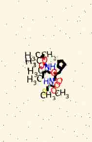 CC[C@H](C)C(COC(Cc1ccccc1)C(=O)N[C@@H](CCSC)C(=O)OC)NC(=O)OC(C)(C)C